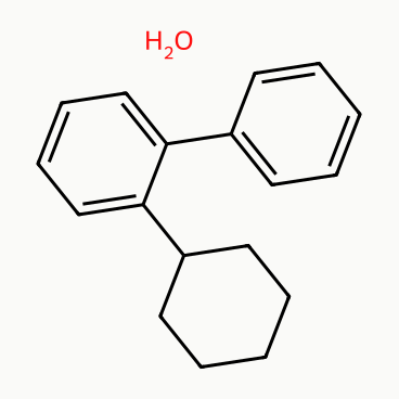 O.c1ccc(-c2ccccc2C2CCCCC2)cc1